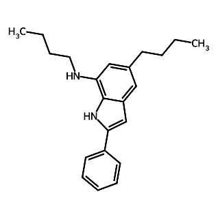 CCCCNc1cc(CCCC)cc2cc(-c3ccccc3)[nH]c12